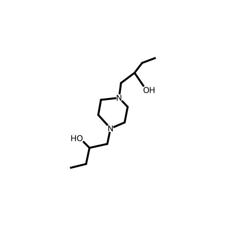 CCC(O)CN1CCN(CC(O)CC)CC1